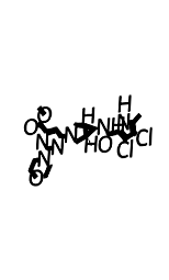 COC(=O)c1cc(N2C[C@@H]3[C@H](C2)[C@H]3NC(=O)c2[nH]c(C)c(Cl)c2Cl)nc(N2CCOCC2)n1